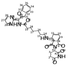 O=C1CCC(N2C(=O)c3cccc(NCCCCCCC(=O)NC(c4ncccn4)c4cc5ccccc5o4)c3C2=O)C(=O)N1